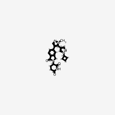 Cn1ncc(-c2ccc3c(c2)CN(C2CCC(=O)NC2=O)C3=O)c1-c1cnn(C2CCC2)c1